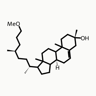 COCCC[C@H](C)CC[C@@H](C)C1CCC2[C@@H]3CC=C4C[C@@](C)(O)CCC4(C)C3CCC21C